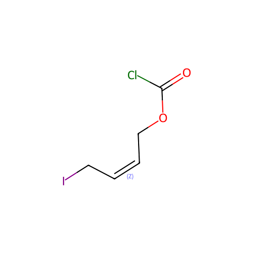 O=C(Cl)OC/C=C\CI